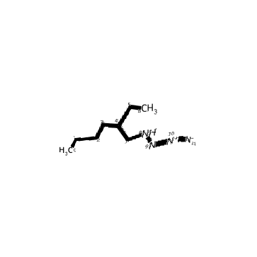 CCCCC(CC)CNN=[N+]=[N-]